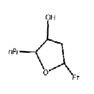 CCCC1OC(CC)CC1O